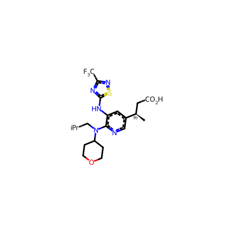 CC(C)CN(c1ncc([C@H](C)CC(=O)O)cc1Nc1nc(C(F)(F)F)ns1)C1CCOCC1